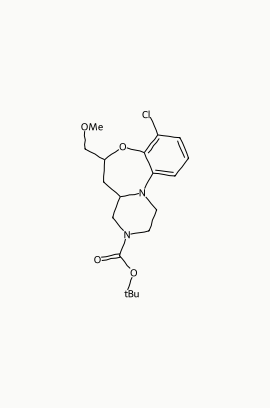 COCC1CC2CN(C(=O)OC(C)(C)C)CCN2c2cccc(Cl)c2O1